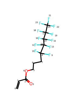 C=CC(=O)OCCCC(F)(F)C(F)(F)C(F)(F)C(F)(F)C(F)(F)F